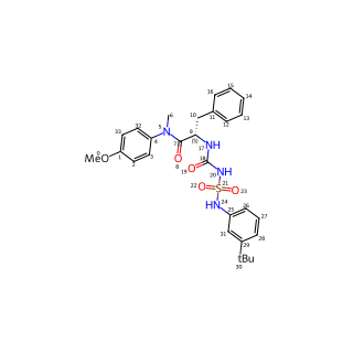 COc1ccc(N(C)C(=O)[C@H](Cc2ccccc2)NC(=O)NS(=O)(=O)Nc2cccc(C(C)(C)C)c2)cc1